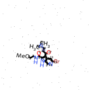 COCCNC(=O)c1[nH]c2cnc(Br)cc2c1C(=O)/C=C/N(C)C